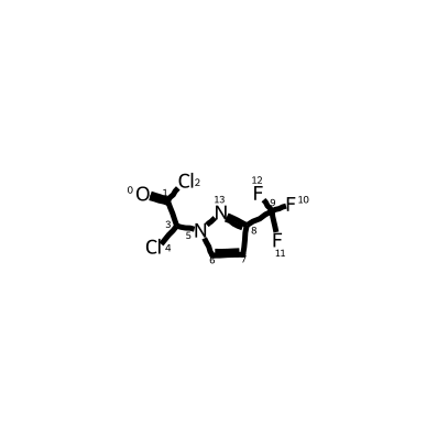 O=C(Cl)C(Cl)n1ccc(C(F)(F)F)n1